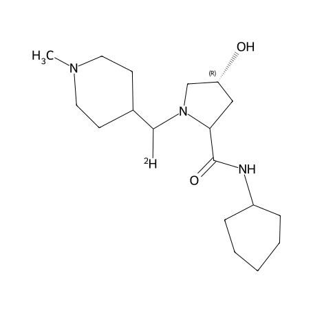 [2H]C(C1CCN(C)CC1)N1C[C@H](O)CC1C(=O)NC1CCCCC1